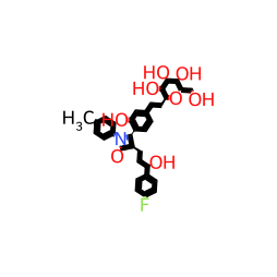 Cc1ccc(N2C(=O)[C@H](CC[C@H](O)c3ccc(F)cc3)[C@H]2c2ccc(CC[C@@H]3OC(CO)[C@@H](O)[C@H](O)C3O)cc2O)cc1